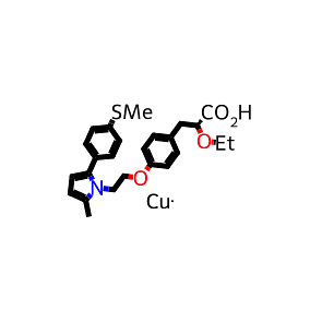 CCO[C@@H](Cc1ccc(OCCn2c(C)ccc2-c2ccc(SC)cc2)cc1)C(=O)O.[Cu]